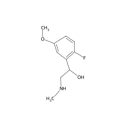 CNCC(O)c1cc(OC)ccc1F